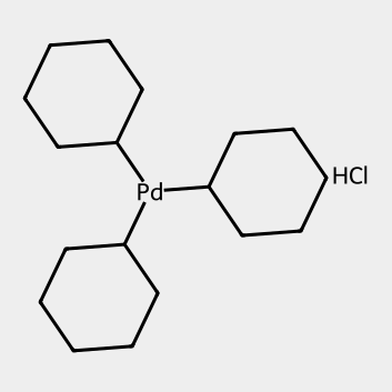 C1CC[CH]([Pd]([CH]2CCCCC2)[CH]2CCCCC2)CC1.Cl